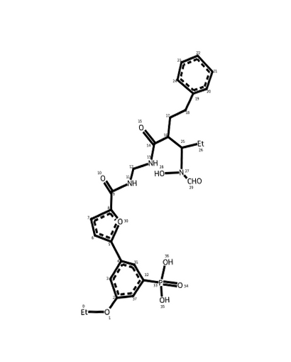 CCOc1cc(-c2ccc(C(=O)NCNC(=O)C(CCc3ccccc3)C(CC)N(O)C=O)o2)cc(P(=O)(O)O)c1